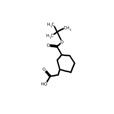 CC(C)(C)OC(=O)C1CCCC(CC(=O)O)C1